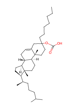 CCCCCCCC1(OC(=O)O)CC[C@@]2(C)C(=CC[C@H]3[C@@H]4CC[C@H]([C@H](C)CCCC(C)C)[C@@]4(C)CC[C@@H]32)C1